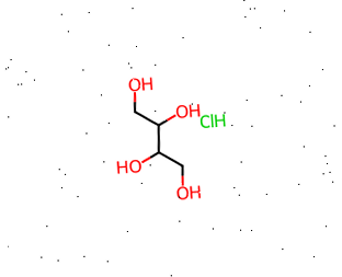 Cl.OCC(O)C(O)CO